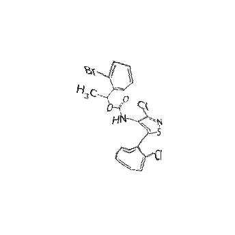 CC(OC(=O)Nc1c(Cl)nsc1-c1ccccc1Cl)c1ccccc1Br